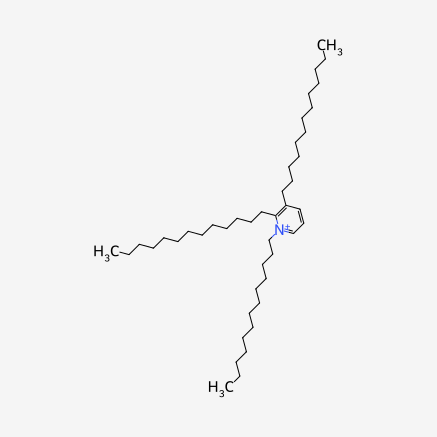 CCCCCCCCCCCCCc1ccc[n+](CCCCCCCCCCCCC)c1CCCCCCCCCCCCC